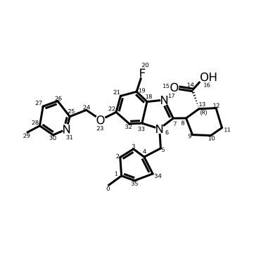 Cc1ccc(Cn2c(C3CCCC[C@H]3C(=O)O)nc3c(F)cc(OCc4ccc(C)cn4)cc32)cc1